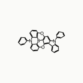 c1ccc(N2c3cccc4c3B3c5c(cccc52)Oc2c3c(cc3c2c2ccccc2n3-c2ccccc2)O4)cc1